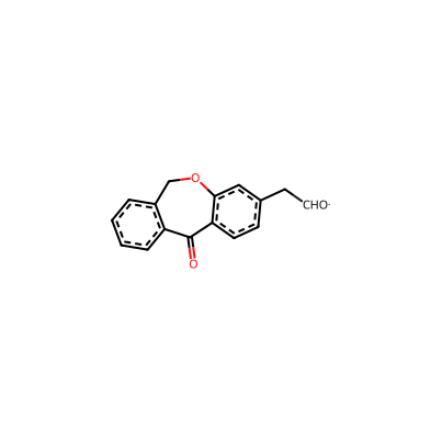 O=[C]Cc1ccc2c(c1)OCc1ccccc1C2=O